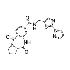 O=C(NCc1cnc(-n2cccn2)s1)c1ccc2c(c1)NC(=O)C1CCCN1[S+]2[O-]